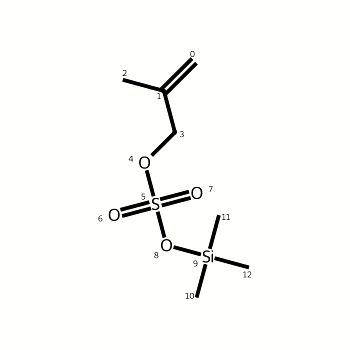 C=C(C)COS(=O)(=O)O[Si](C)(C)C